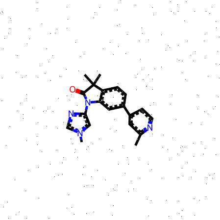 Cc1cc(-c2ccc3c(c2)N(c2cn(C)cn2)C(=O)C3(C)C)ccn1